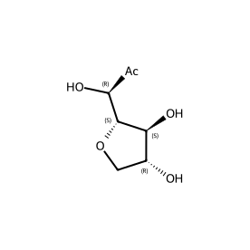 CC(=O)[C@H](O)[C@H]1OC[C@@H](O)[C@@H]1O